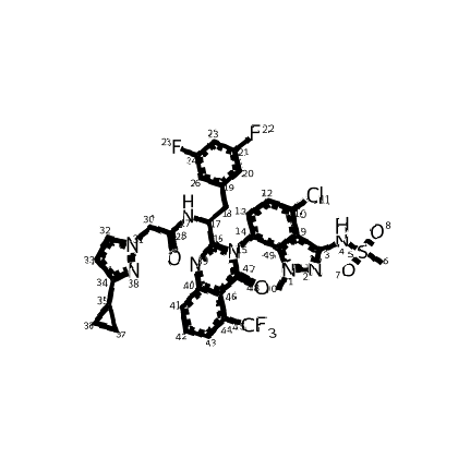 Cn1nc(NS(C)(=O)=O)c2c(Cl)ccc(-n3c(C(Cc4cc(F)cc(F)c4)NC(=O)Cn4ccc(C5CC5)n4)nc4cccc(C(F)(F)F)c4c3=O)c21